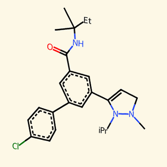 CCC(C)(C)NC(=O)c1cc(C2=CCN(C)N2C(C)C)cc(-c2ccc(Cl)cc2)c1